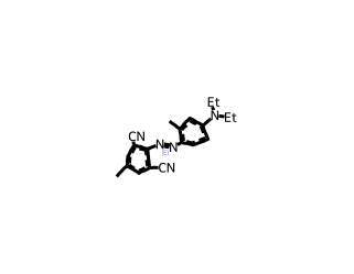 CCN(CC)c1ccc(/N=N/c2c(C#N)cc(C)cc2C#N)c(C)c1